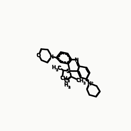 CC(C)[Si]1(C(C)C)C2=CC(=[N+]3CCCCC3)C=CC2=Nc2ccc(N3CCOCC3)cc21